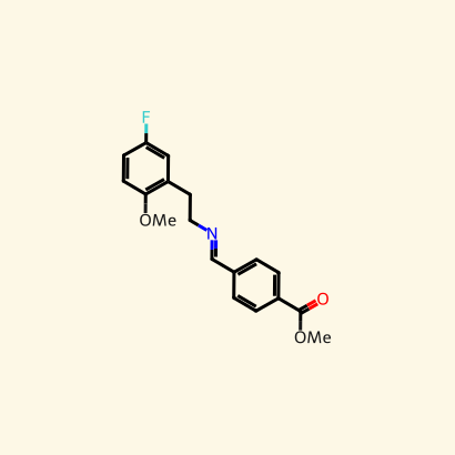 COC(=O)c1ccc(C=NCCc2cc(F)ccc2OC)cc1